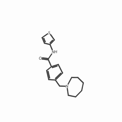 O=C(Nc1ccsc1)c1ccc(CN2CCCCCC2)cc1